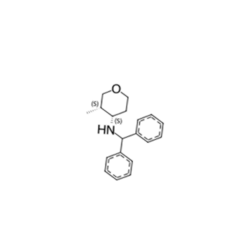 C[C@@H]1COCC[C@@H]1NC(c1ccccc1)c1ccccc1